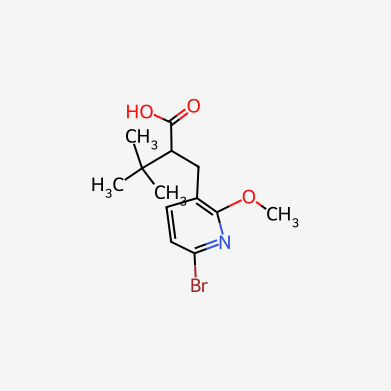 COc1nc(Br)ccc1CC(C(=O)O)C(C)(C)C